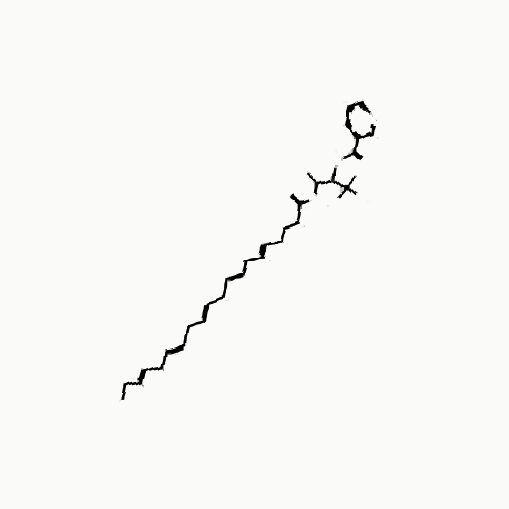 CCC=CCC=CCC=CCC=CCC=CCCCC(=O)OC(F)C(OC(=O)c1cccnc1)C(F)(F)F